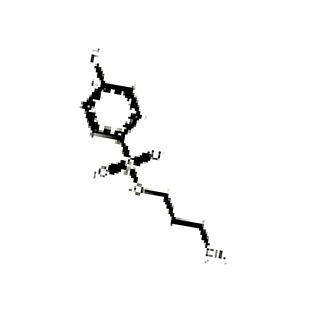 CCCCOS(=O)(=O)c1ccc(F)cc1